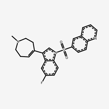 CN1CCC=C(c2cn(S(=O)(=O)c3ccc4ncccc4c3)c3ccc(F)cc23)CC1